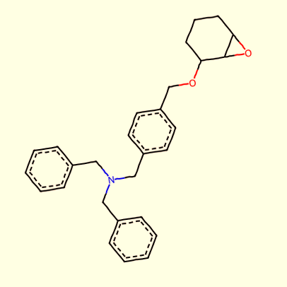 c1ccc(CN(Cc2ccccc2)Cc2ccc(COC3CCCC4OC34)cc2)cc1